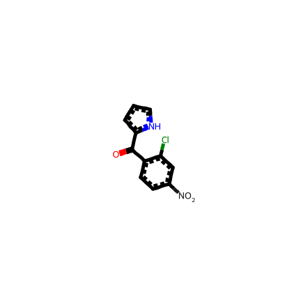 O=C(c1ccc[nH]1)c1ccc([N+](=O)[O-])cc1Cl